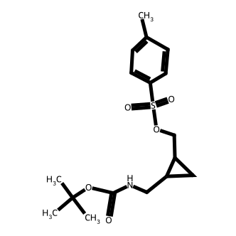 Cc1ccc(S(=O)(=O)OCC2CC2CNC(=O)OC(C)(C)C)cc1